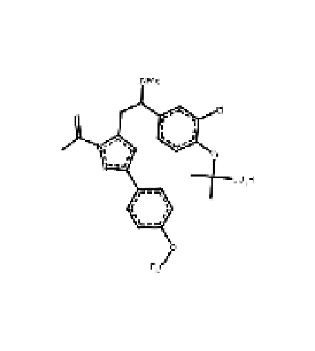 C=C(C)n1nc(-c2ccc(OC(F)(F)F)cc2)cc1CC(NC)c1ccc(OC(C)(C)C(=O)O)c(Cl)c1